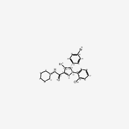 CC[C@@H]1C(C(=O)NN2CCCCC2)=NN(c2ccccc2Cl)[C@H]1c1ccc(Br)cc1